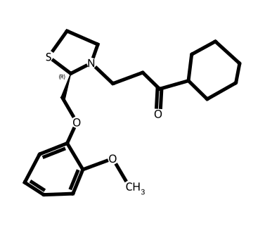 COc1ccccc1OC[C@H]1SCCN1CCC(=O)C1CCCCC1